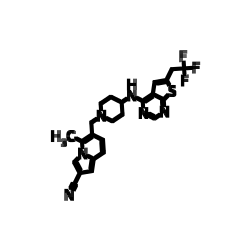 Cc1c(CN2CCC(Nc3ncnc4sc(CC(F)(F)F)cc34)CC2)ccc2cc(C#N)cn12